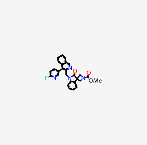 COC(=O)N1CC2(C1)C(=O)N(Cc1ncc3ccccc3c1-c1ccc(F)nc1)c1ccccc12